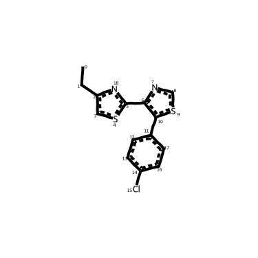 CCc1csc(-c2n[c]sc2-c2ccc(Cl)cc2)n1